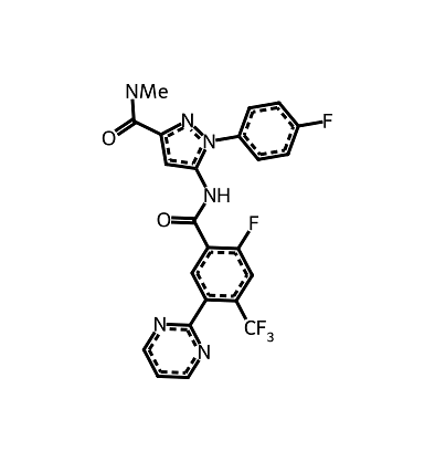 CNC(=O)c1cc(NC(=O)c2cc(-c3ncccn3)c(C(F)(F)F)cc2F)n(-c2ccc(F)cc2)n1